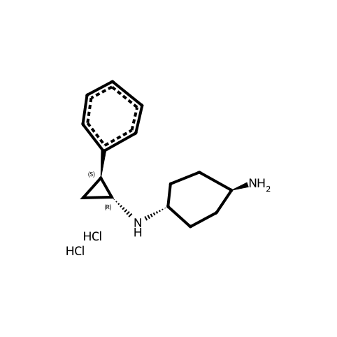 Cl.Cl.N[C@H]1CC[C@H](N[C@@H]2C[C@H]2c2ccccc2)CC1